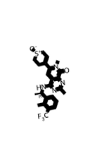 Cc1nc(N[C@H](C)c2cccc(C(F)(F)F)c2C)c2cc(C3=CC[S+]([O-])CC3)n(C)c(=O)c2n1